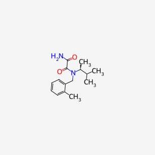 Cc1ccccc1CN(C(=O)C(N)=O)[C@@H](C)C(C)C